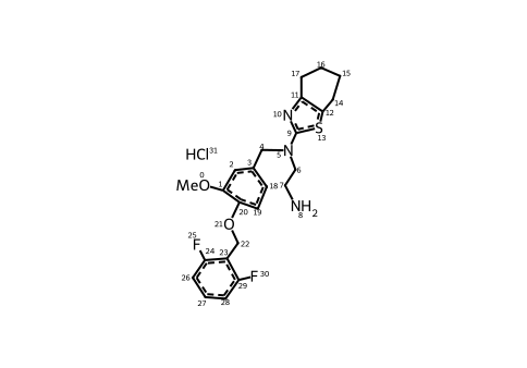 COc1cc(CN(CCN)c2nc3c(s2)CCCC3)ccc1OCc1c(F)cccc1F.Cl